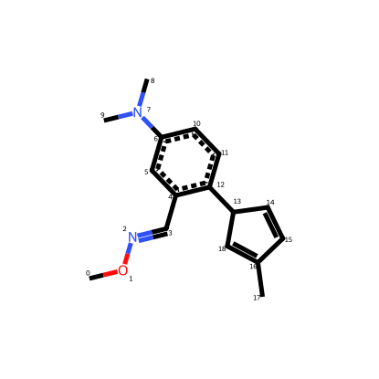 CON=Cc1cc(N(C)C)ccc1C1C=CC(C)=C1